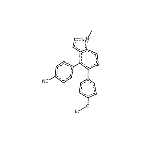 CCOc1ccc(-c2ncc3c(ccn3C)c2-c2ccc(C#N)cc2)cc1